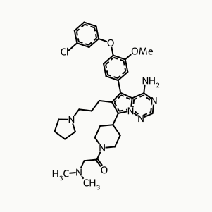 COc1cc(-c2c(CCCN3CCCC3)c(C3CCN(C(=O)CN(C)C)CC3)n3ncnc(N)c23)ccc1Oc1cccc(Cl)c1